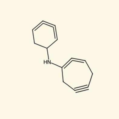 C1=C=CC(NC2=C=CCC#CC2)CC=1